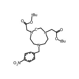 CC(C)(C)OC(=O)CN1CCN(CC(=O)OC(C)(C)C)CCN(Cc2ccc([N+](=O)[O-])cc2)CC1